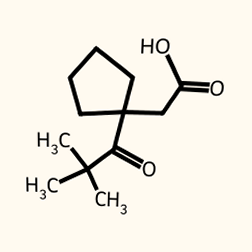 CC(C)(C)C(=O)C1(CC(=O)O)CCCC1